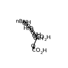 CCCCNC(=O)COCCOCCNC(=O)COCCOCCNC(=O)CC[C@H](NC(=O)CCCCCCCCCOc1ccc(C(=O)O)cc1)C(=O)O